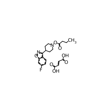 CCCC(=O)ON1CCC(c2noc3cc(F)ccc23)CC1.O=C(O)C=CC(=O)O